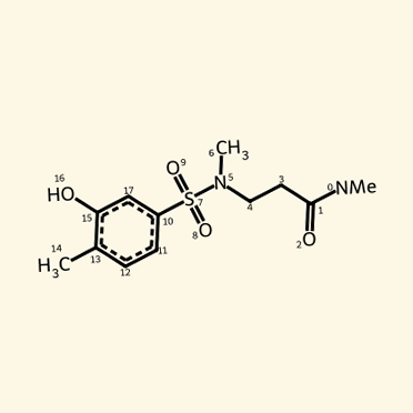 CNC(=O)CCN(C)S(=O)(=O)c1ccc(C)c(O)c1